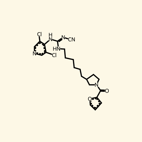 N#CN=C(NCCCCCCC1CCN(C(=O)c2ccco2)C1)Nc1c(Cl)cncc1Cl